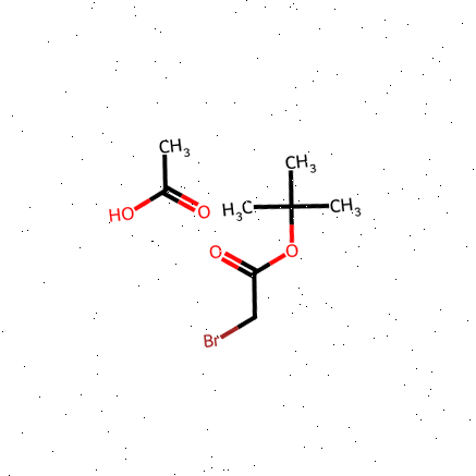 CC(=O)O.CC(C)(C)OC(=O)CBr